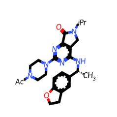 CC(=O)N1CCN(c2nc(N[C@H](C)c3ccc4c(c3)CCO4)c3c(n2)C(=O)N(C(C)C)C3)CC1